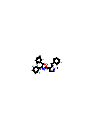 c1ccc(CC2NCCC2c2nc(-c3ccccc3)c(-c3ccccc3)o2)cc1